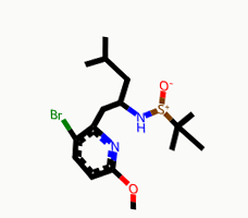 COc1ccc(Br)c(CC(CC(C)C)N[S+]([O-])C(C)(C)C)n1